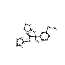 COc1cccc(C(C)(CC2CCCC2)C(=O)Nc2nccs2)c1